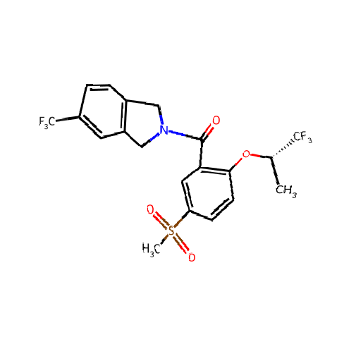 C[C@H](Oc1ccc(S(C)(=O)=O)cc1C(=O)N1Cc2ccc(C(F)(F)F)cc2C1)C(F)(F)F